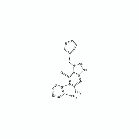 Cc1ccccc1-n1c(C)nc2c(c1=O)N(Cc1ccccc1)NN2